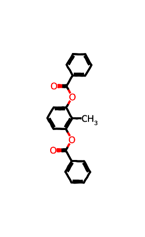 Cc1c(OC(=O)c2ccccc2)cccc1OC(=O)c1ccccc1